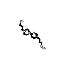 CC(C)CCCN1CCN(c2ccc(CCCOC(C)C)cn2)CC1